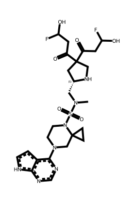 CN(C[C@@H]1CC(C(=O)CC(O)F)(C(=O)CC(O)F)CN1)S(=O)(=O)N1CCN(c2ncnc3[nH]ccc23)CC12CC2